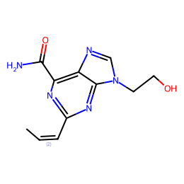 C/C=C\c1nc(C(N)=O)c2ncn(CCO)c2n1